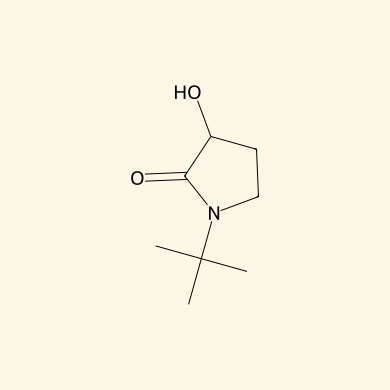 CC(C)(C)N1CCC(O)C1=O